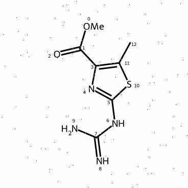 COC(=O)c1nc(NC(=N)N)sc1C